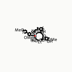 CC[C@H]1OC(=O)[C@H](C)[C@@H](O[C@H]2C[C@@](C)(OC)[C@@H](O)[C@H](C)O2)[C@H](C)[C@@H](O[C@@H]2O[C@H](C)C[C@H](N(C)CCc3cn([C@H](CF)[C@H](OC)c4ccc(-c5ccc(OC)nc5)cc4)nn3)[C@H]2O)[C@](C)(O)C[C@@H](C)CN(C)[C@H](C)[C@@H](O)[C@]1(C)O